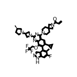 C=CC(=O)N1CC2(CCN(c3nc(N4CC(N5CC[C@@H](C)C5)C4)nc4c(OCC(F)(F)F)c(-c5c(C)c(F)cc6[nH]ncc56)c(C5CC5)cc34)CC2)C1